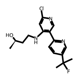 C[C@@H](O)CCNc1cc(Cl)ncc1-c1ccc(C(C)(C)F)cn1